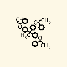 C=CC(Oc1ccc(C(C)(c2ccc(OC(C=C)c3ccccc3)cc2)c2ccc(OC(C=C)c3ccccc3)cc2)cc1)c1ccccc1